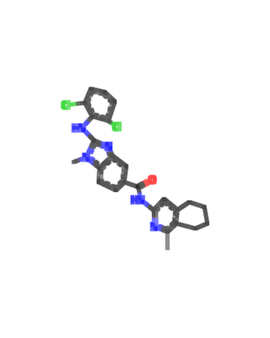 Cc1nc(NC(=O)c2ccc3c(c2)nc(Nc2c(Cl)cccc2Cl)n3C)cc2c1CCCC2